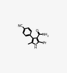 Cc1[nH]c(C(C)C)c(C(N)=O)c1-c1ccc(C#N)cc1